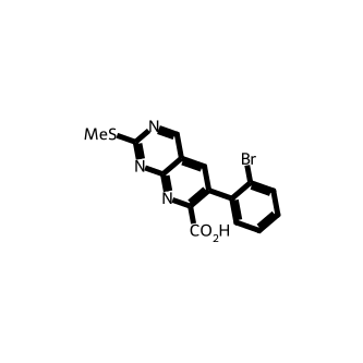 CSc1ncc2cc(-c3ccccc3Br)c(C(=O)O)nc2n1